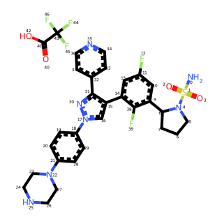 NS(=O)(=O)N1CCCC1c1cc(F)cc(-c2cn(-c3ccc(N4CCNCC4)cc3)nc2-c2ccncc2)c1F.O=C(O)C(F)(F)F